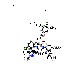 COc1ccc(N2CC(C)n3c(c(CCCOc4cc(C)c(Cl)c(C)c4)c4ccc(Cl)c(-c5c(C)nn(C)c5C)c43)C2=O)c2c1cc(C(=O)O)n2C